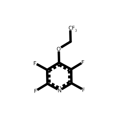 Fc1nc(F)c(F)c(OCC(F)(F)F)c1F